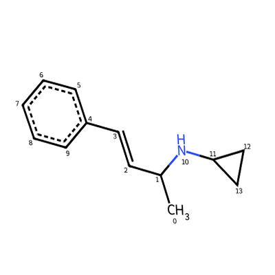 CC(/C=C/c1ccccc1)NC1CC1